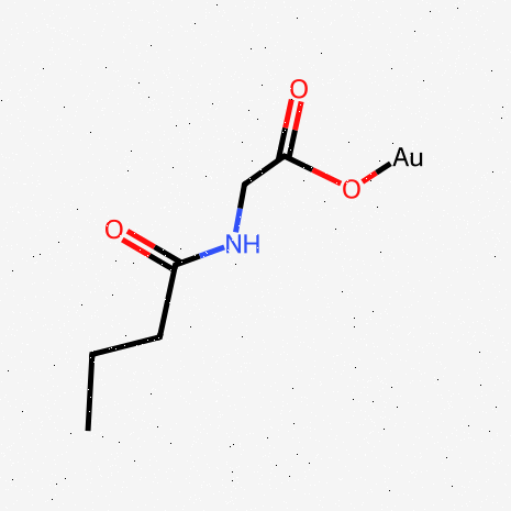 CCCC(=O)NCC(=O)[O][Au]